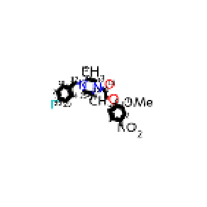 COc1cc([N+](=O)[O-])ccc1OCC(=O)N1C[C@@H](C)N(Cc2ccc(F)cc2)C[C@@H]1C